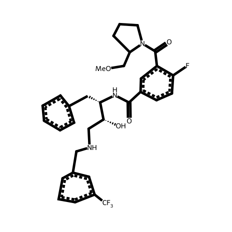 COCC1CCCN1C(=O)c1cc(C(=O)N[C@@H](Cc2ccccc2)[C@H](O)CNCc2cccc(C(F)(F)F)c2)ccc1F